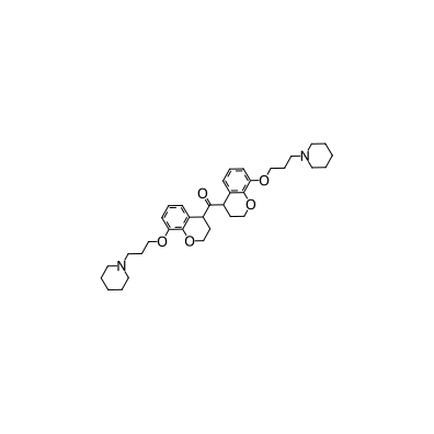 O=C(C1CCOc2c(OCCCN3CCCCC3)cccc21)C1CCOc2c(OCCCN3CCCCC3)cccc21